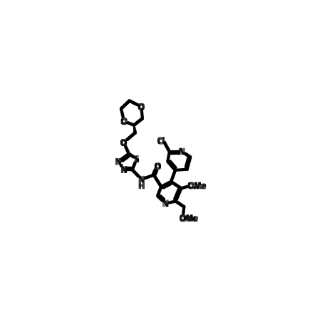 COCc1ncc(C(=O)Nc2nnc(OC[C@@H]3COCCO3)s2)c(-c2ccnc(Cl)c2)c1OC